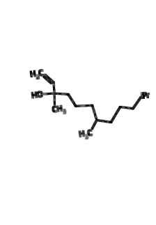 C=CC(C)(O)CCCC(C)CCCC(C)C